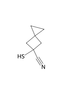 N#CC1(S)CC2(CC2)C1